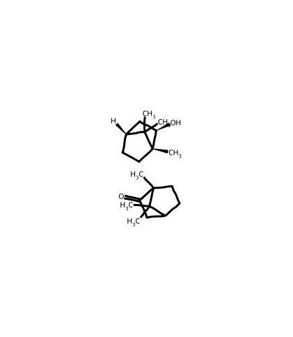 CC1(C)[C@@H]2CC[C@@]1(C)[C@H](O)C2.CC12CCC(CC1=O)C2(C)C